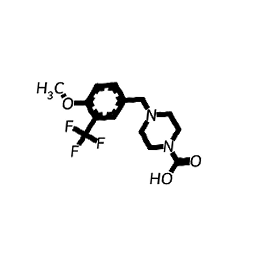 COc1ccc(CN2CCN(C(=O)O)CC2)cc1C(F)(F)F